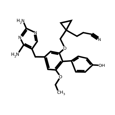 CCOc1cc(Cc2cnc(N)nc2N)cc(OCC2(CCC#N)CC2)c1-c1ccc(O)cc1